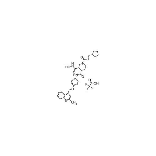 Cc1cc(COc2ccc(NC(=O)[C@H]3CCN(C(=O)OCC4CCCC4)C[C@@H]3C(=O)NO)cc2)c2ccccc2n1.O=C(O)C(F)(F)F